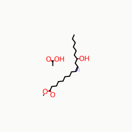 CC(=O)O.CCCCCCC(O)C/C=C\CCCCCCCC(=O)OC